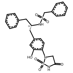 O=C1CN(c2ccc(C[C@H](Cc3ccccc3)NS(=O)(=O)Cc3ccccc3)cc2O)S(=O)(=O)N1